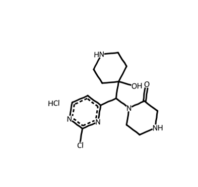 Cl.O=C1CNCCN1C(c1ccnc(Cl)n1)C1(O)CCNCC1